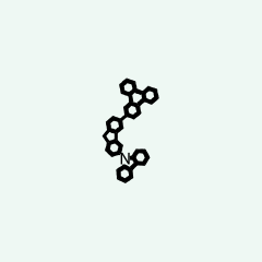 c1ccc2c(c1)c1ccccc1c1cc(-c3ccc4c(c3)-c3cc(-n5c6ccccc6c6ccccc65)ccc3C4)ccc21